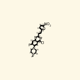 CN1CCN(c2cc3c(Cl)nc(C=Cc4ccc([N+](=O)[O-])o4)nc3cc2F)CC1